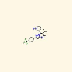 Cc1nc2cc([C@H]3CC[C@H](C(F)(F)F)CC3)nn2c(C2CCCNC2)c1C(C)C